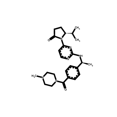 CC(C)[C@H]1CCC(=O)N1c1ccnc(N[C@@H](C)c2ccc(C(=O)N3CCN(C)CC3)cc2)n1